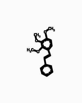 COc1ccc(C=Cc2ccccc2)c(OC)c1OC